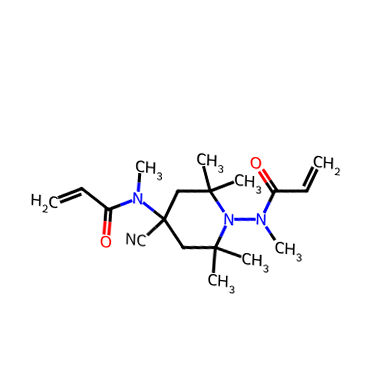 C=CC(=O)N(C)N1C(C)(C)CC(C#N)(N(C)C(=O)C=C)CC1(C)C